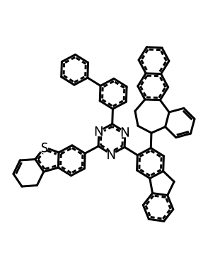 C1=CC2c3cc4ccccc4cc3CCC(c3cc4c(cc3-c3nc(-c5cccc(-c6ccccc6)c5)nc(-c5ccc6c7c(sc6c5)C=CCC7)n3)-c3ccccc3C4)C2C=C1